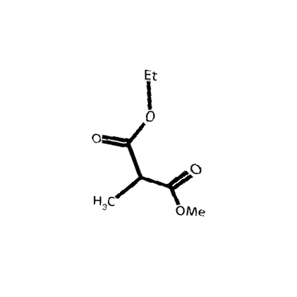 CCOC(=O)C(C)C(=O)OC